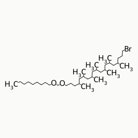 CCCCCCCCCOCOCCCC(C)CC(C)CC(C)CC(C)CC(C)CC(C)CC(C)CCCBr